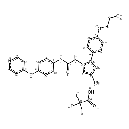 CC(C)(C)c1cc(NC(=O)Nc2ccc(Oc3ccncc3)cc2)n(-c2ccc(OCCO)cc2)n1.O=C(O)C(F)(F)F